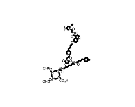 C#C[C@H]1CC(F)(F)CN1C(=O)CNC(=O)c1ccnc2ccc(OCCCCC3CCN(C(=O)CN4C(=O)CC(SC(CCCCCNC(=O)CCCc5ccc(C)cc5)CNC(=O)CN5CCN(COC=O)CCN(COC=O)CCN(CC(=O)O)CC5)C4=O)CC3)cc12